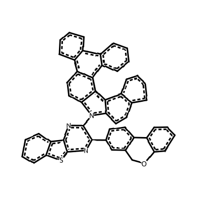 c1ccc2c(c1)OCc1cc(-c3nc4sc5ccccc5c4nc3-n3c4ccc5ccccc5c4c4c5c6ccccc6c6ccccc6c5ccc43)ccc1-2